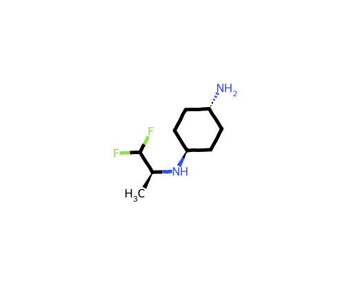 C[C@H](N[C@H]1CC[C@H](N)CC1)C(F)F